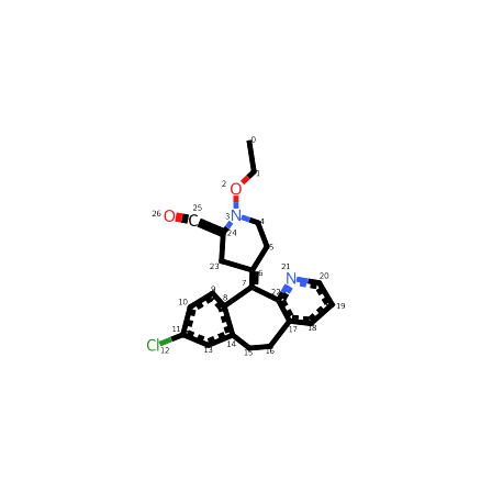 CCON1CCC(=C2c3ccc(Cl)cc3CCc3cccnc32)CC1=C=O